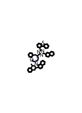 CC1c2ccccc2C=C2c3ccc4ccccc4c3N(/C3=C/C=C(/c4nc(-c5ccc6ccccc6c5)nc(-c5cccc6sc7ccccc7c56)n4)Cc4ccccc4OC3)C21